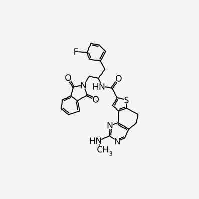 CNc1ncc2c(n1)-c1cc(C(=O)NC(Cc3cccc(F)c3)CN3C(=O)c4ccccc4C3=O)sc1CC2